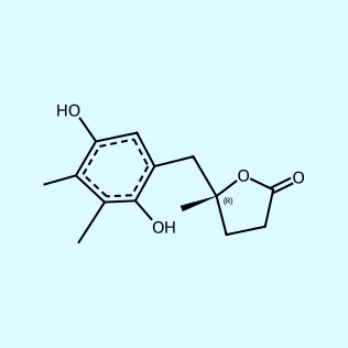 Cc1c(O)cc(C[C@@]2(C)CCC(=O)O2)c(O)c1C